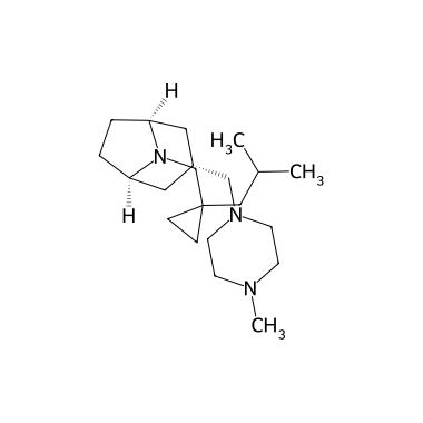 CC(C)CC1(CN2[C@@H]3CC[C@H]2C[C@H](CN2CCN(C)CC2)C3)CC1